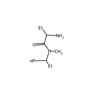 CCCC(CC)N(C)C(=O)C(N)CC